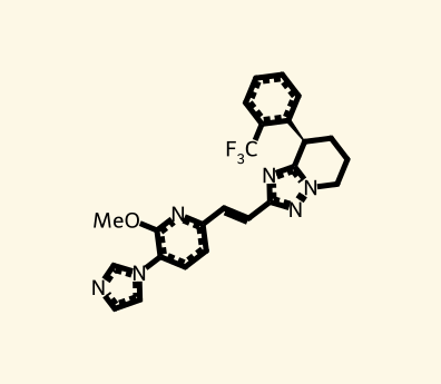 COc1nc(/C=C/c2nc3n(n2)CCC[C@@H]3c2ccccc2C(F)(F)F)ccc1-n1ccnc1